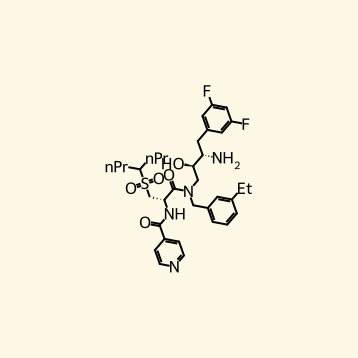 CCCC(CCC)S(=O)(=O)C[C@@H](NC(=O)c1ccncc1)C(=O)N(Cc1cccc(CC)c1)C[C@@H](O)[C@@H](N)Cc1cc(F)cc(F)c1